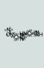 CN1CCC1C(=O)N1Cc2ccc(-c3nccc(Nc4ccc(-c5cn[nH]c5)cc4)n3)cc2C1